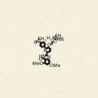 COc1cc(OC)c2c(=O)[nH]c(-c3ccc(OCCO[Si](C)(C)C(C)(C)C)c(-c4ccc([S+](C)[O-])cc4)n3)nc2c1